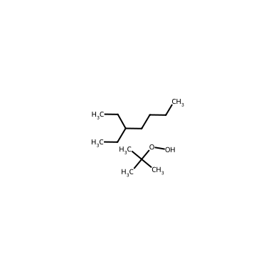 CC(C)(C)OO.CCCCC(CC)CC